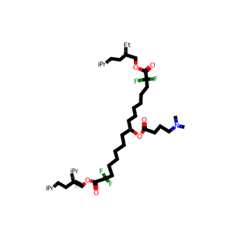 CCC(CCC(C)C)COC(=O)C(F)(F)CCCCCCC(CCCCCCC(F)(F)C(=O)O/C=C(/CCC(C)C)C(C)C)OC(=O)CCCN(C)C